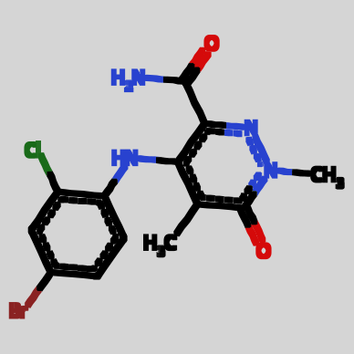 Cc1c(Nc2ccc(Br)cc2Cl)c(C(N)=O)nn(C)c1=O